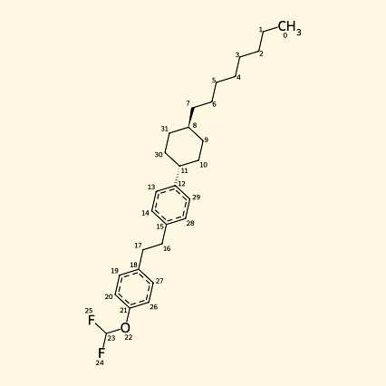 CCCCCCCC[C@H]1CC[C@H](c2ccc(CCc3ccc(OC(F)F)cc3)cc2)CC1